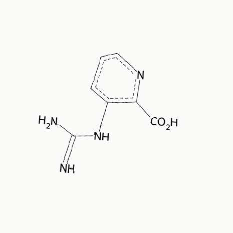 N=C(N)Nc1cccnc1C(=O)O